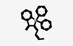 C=C1/C(=C\C=C/C)[Si](c2ccccc2)(c2ccccc2)c2ccccc21